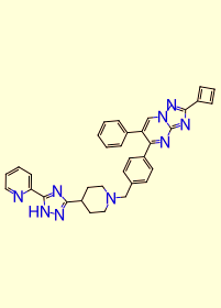 C1=CC(c2nc3nc(-c4ccc(CN5CCC(c6n[nH]c(-c7ccccn7)n6)CC5)cc4)c(-c4ccccc4)cn3n2)=C1